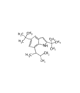 CC(C)C(C)c1cc(C(C)(C)C)cc2cc(C(C)(C)C)[nH]c12